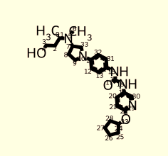 C[C@@H](CCO)N(C)C1CCN(c2ccc(NC(=O)Nc3ccc(OC4CCCC4)nc3)cc2)C1